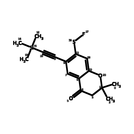 CC1(C)CC(=O)c2cc(C#C[Si](C)(C)C)c(SF)cc2O1